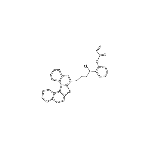 C=CC(=O)Oc1ccccc1C(Cl)CCCc1cc2ccccc2c2c1sc1ccc3ccccc3c12